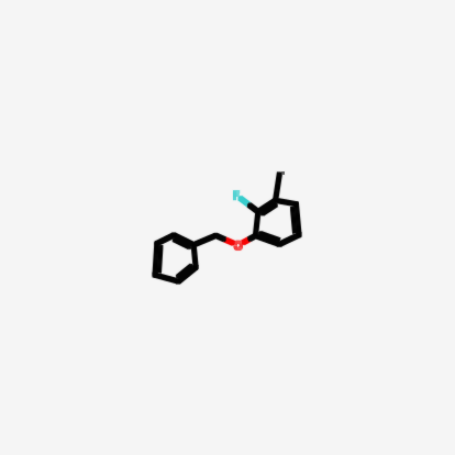 [CH2]c1cccc(OCc2ccccc2)c1F